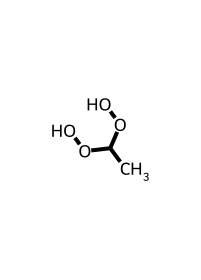 CC(OO)OO